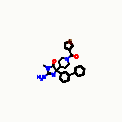 CN1C(=O)C(c2cccc(-c3ccccc3)c2)(C2CCN(C(=O)c3ccsc3)CC2)N=C1N